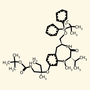 CC[C@](C)(CNC(=O)OC(C)(C)C)Oc1ccc2c(c1)N(C)[C@@H](C(C)C)C(=O)N[C@H](CO[Si](c1ccccc1)(c1ccccc1)C(C)(C)C)C2